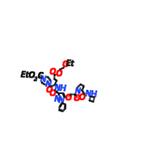 CCOCCOC(=O)CCC(NC(=O)c1cc(OCC(=O)N2CCCC2C(=O)NC2CCC2)n(-c2ccccc2)n1)C(=O)N1CCN(C(=O)OCC)CC1